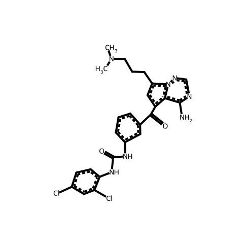 CN(C)CCCc1cc(C(=O)c2cccc(NC(=O)Nc3ccc(Cl)cc3Cl)c2)c2c(N)ncnn12